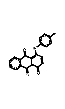 Cc1ccc(NC2=C3C(=O)c4ccccc4C(=O)C3C(=O)C=C2)cc1